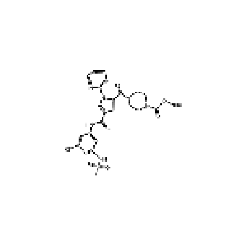 CC(C)(C)OC(=O)N1CCN(C(=O)c2cc(C(=O)Nc3cc(Cl)cc(NS(C)(=O)=O)c3)cn2-c2ccccn2)CC1